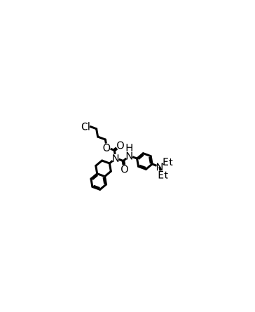 CCN(CC)c1ccc(NC(=O)N(C(=O)OCCCCl)C2CCc3ccccc3C2)cc1